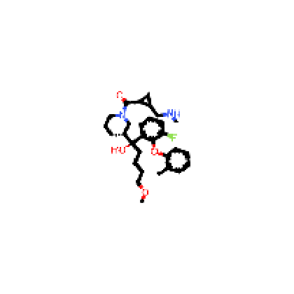 CNCC1CC1C(=O)N1CCC[C@@H]([C@@](O)(CCCCOC)c2cccc(F)c2Oc2ccccc2C)C1